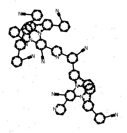 N#Cc1cccc(-c2ccc3c(c2)c2ccccc2n3-c2cc(-c3cccnc3)c(C#N)cc2-n2c3ccccc3c3cc(-c4cc(C#N)cc(-c5ccc(-c6cc(-n7c8cc(-c9ccccc9C#N)ccc8c8ccc(-c9ccccc9C#N)cc87)c(-n7c8cc(-c9ccccc9C#N)ccc8c8ccc(-c9ccccc9C#N)cc87)cc6C#N)cn5)c4)ccc32)c1